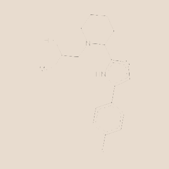 CSC(C)CN1CCCCC1c1ncc(-c2ccc(C(C)=O)cc2)[nH]1